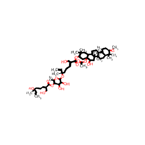 C=CC(C)(O)CC/C=C(\CO)C(=O)OC1C(C)OC(O[C@](C)(C=C)CC/C=C(\CO)C(=O)OC2CC3(OC(C)=O)C(O)CC4(C)C(=CCC5C6(C)CCC(OC)C(C)(C)C6CCC54C)C3CC2(C)C)C(O)C1O